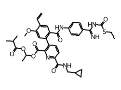 C=Cc1cc(C(=O)Nc2ccc(C(=N)NC(=O)SCC)cc2)c(-c2ccc(C(=O)NCC3CC3)nc2C(=O)OC(C)OC(=O)C(C)C)cc1OC